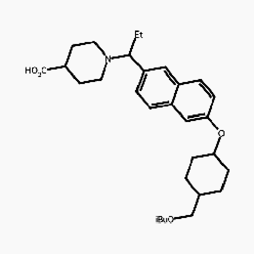 CCC(c1ccc2cc(OC3CCC(COCC(C)C)CC3)ccc2c1)N1CCC(C(=O)O)CC1